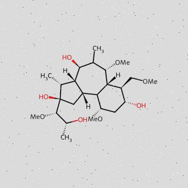 COC[C@@H]1[C@@H]2C([C@@H](OC)C[C@H]1O)[C@@H]1C[C@](O)([C@@H](OC)[C@@H](C)O)[C@H](C)[C@@H]1[C@@H](O)C(C)[C@@H]2OC